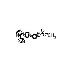 CCOC(=O)N1CC2(CC[C@@H](N3CCN(c4nccnc4-c4cncs4)CC3)C2)C1